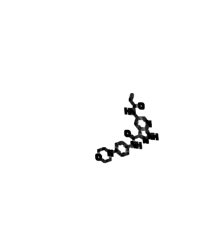 C=CC(=O)Nc1cnc2[nH]nc(C(=O)Nc3ccc(N4CCOCC4)cc3)c2c1